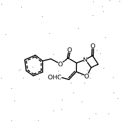 O=CC=C1OC2CC(=O)N2C1C(=O)OCc1ccccc1